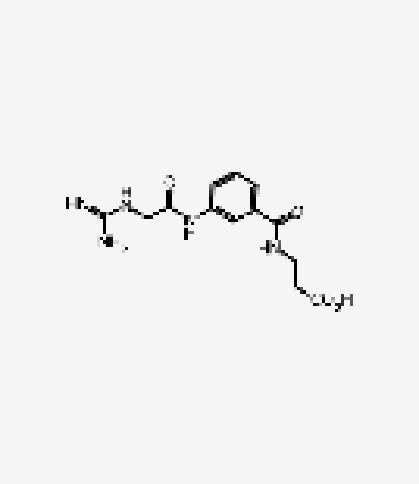 N=C(N)NCC(=O)Nc1cccc(C(=O)NCCC(=O)O)c1